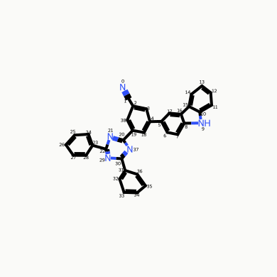 N#Cc1cc(-c2ccc3[nH]c4ccccc4c3c2)cc(-c2nc(-c3ccccc3)nc(-c3ccccc3)n2)c1